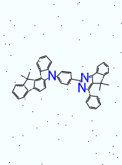 CC1(C)c2ccccc2-c2nc(-c3ccc(-n4c5ccccc5c5c6c(ccc54)-c4ccccc4C6(C)C)cc3)nc(-c3ccccc3)c21